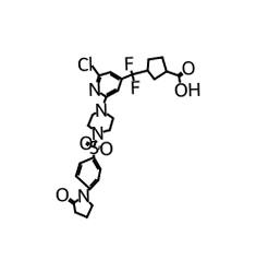 O=C(O)C1CCC(C(F)(F)c2cc(Cl)nc(N3CCN(S(=O)(=O)c4ccc(N5CCCC5=O)cc4)CC3)c2)C1